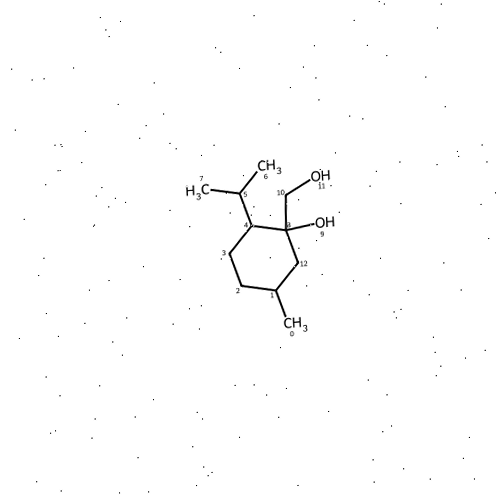 CC1CCC(C(C)C)C(O)(CO)C1